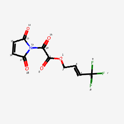 O=C(OC/C=C/C(F)(F)F)C(=O)N1C(=O)C=CC1=O